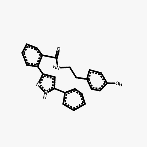 O=C(NCCc1ccc(O)cc1)c1ccccc1-c1cc(-c2ccccc2)[nH]n1